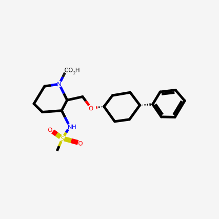 CS(=O)(=O)NC1CCCN(C(=O)O)C1CO[C@H]1CC[C@@H](c2ccccc2)CC1